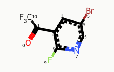 O=C(c1cc(Br)cnc1F)C(F)(F)F